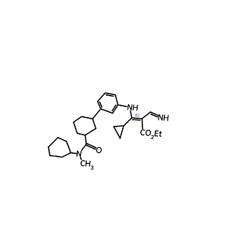 CCOC(=O)/C(C=N)=C(/Nc1cccc(C2CCCC(C(=O)N(C)C3CCCCC3)C2)c1)C1CC1